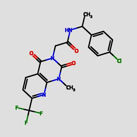 CC(NC(=O)Cn1c(=O)c2ccc(C(F)(F)F)nc2n(C)c1=O)c1ccc(Cl)cc1